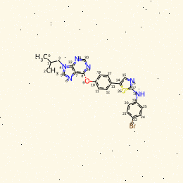 CC(C)Cn1cnc2c(Oc3ccc(-c4cnc(Nc5ccc(Br)cc5)s4)cc3)ncnc21